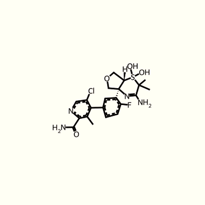 Cc1c(C(N)=O)ncc(Cl)c1-c1ccc(F)c([C@]23COC[C@@H]2S(O)(O)C(C)(C)C(N)=N3)c1